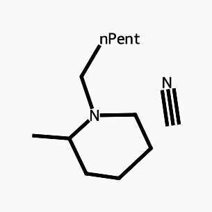 C#N.CCCCCCN1CCCCC1C